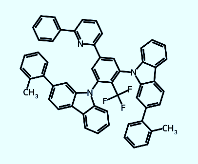 Cc1ccccc1-c1ccc2c3ccccc3n(-c3cc(-c4cccc(-c5ccccc5)n4)cc(-n4c5ccccc5c5ccc(-c6ccccc6C)cc54)c3C(F)(F)F)c2c1